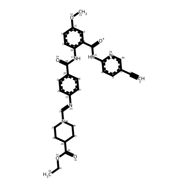 C#Cc1ccc(NC(=O)c2cc(OC)ccc2NC(=O)c2ccc(N=CN3CCC(C(=O)OCC)CC3)cc2)nc1